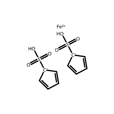 O=S(=O)(O)[c-]1cccc1.O=S(=O)(O)[c-]1cccc1.[Fe+2]